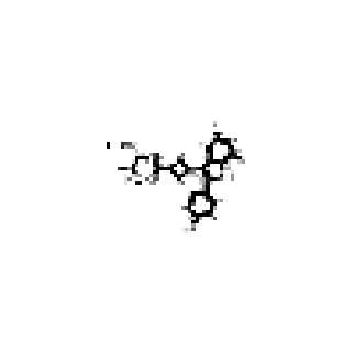 C[C@H](O)[C@H](CO)NC(=O)[C@H]1C[C@@H](c2c(-c3ccc(F)cc3)[nH]c3c(F)cc(F)cc32)C1